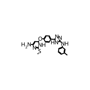 CSC1=NC(N)=CC(Oc2ccc(-c3nnc(Nc4cccc(C)c4)[nH]3)cc2)N1